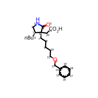 CCCC[C@H]1CNC(=O)[C@]1(CCCCCOCc1ccccc1)CC(=O)O